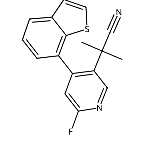 CC(C)(C#N)c1cnc(F)cc1-c1cccc2ccsc12